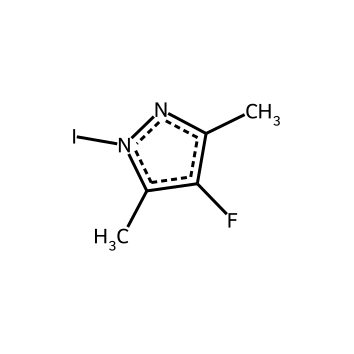 Cc1nn(I)c(C)c1F